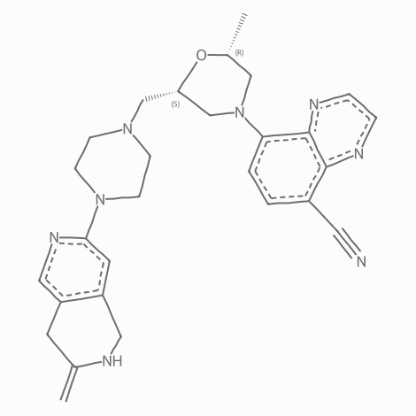 C=C1Cc2cnc(N3CCN(C[C@H]4CN(c5ccc(C#N)c6nccnc56)C[C@@H](C)O4)CC3)cc2CN1